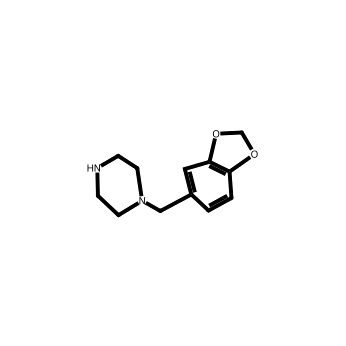 [CH](c1ccc2c(c1)OCO2)N1CCNCC1